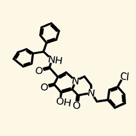 O=C(NC(c1ccccc1)c1ccccc1)c1cn2c(c(O)c1=O)C(=O)N(Cc1cccc(Cl)c1)CC2